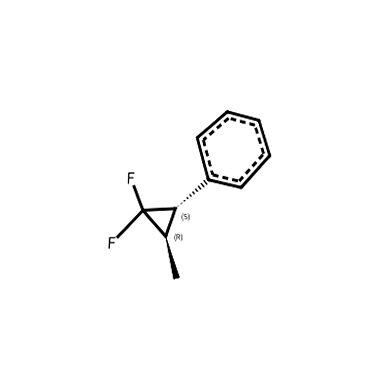 C[C@@H]1[C@@H](c2ccccc2)C1(F)F